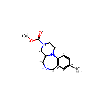 CC(C)(C)OC(=O)N1CCN2c3ccc([N+](=O)[O-])cc3CNCC2C1